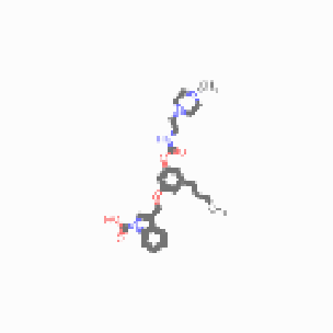 CCCCc1cc(OCc2cn(C(=O)O)c3ccccc23)cc(OC(=O)NCCN2CCN(C)CC2)c1